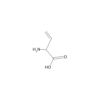 C=CC(N)C(=O)O